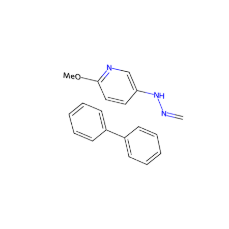 C=NNc1ccc(OC)nc1.c1ccc(-c2ccccc2)cc1